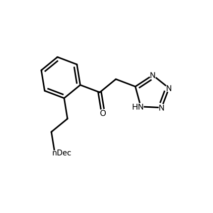 CCCCCCCCCCCCc1ccccc1C(=O)Cc1nnn[nH]1